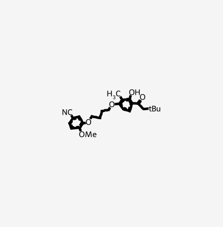 COc1ccc(C#N)cc1OCCCCOc1ccc(C(=O)CC(C)(C)C)c(O)c1C